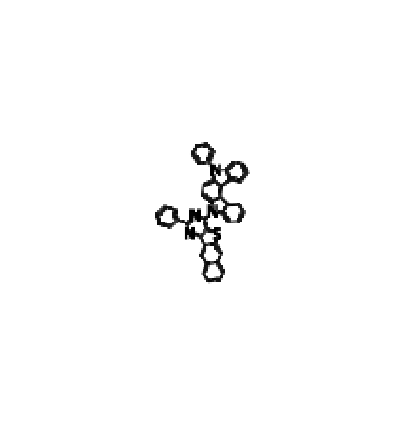 c1ccc(-c2nc(-n3c4ccccc4c4c5c6ccccc6n(-c6ccccc6)c5ccc43)c3sc4cc5ccccc5cc4c3n2)cc1